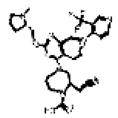 CN1CCC[C@H]1COc1nc2c(c(N3CCN(C(=O)O)C(CC#N)C3)n1)CCN(c1ccncc1C(F)(F)F)C2